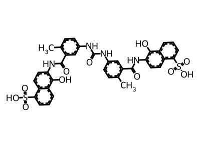 Cc1ccc(NC(=O)Nc2ccc(C)c(C(=O)Nc3ccc4c(S(=O)(=O)O)cccc4c3O)c2)cc1C(=O)Nc1ccc2c(S(=O)(=O)O)cccc2c1O